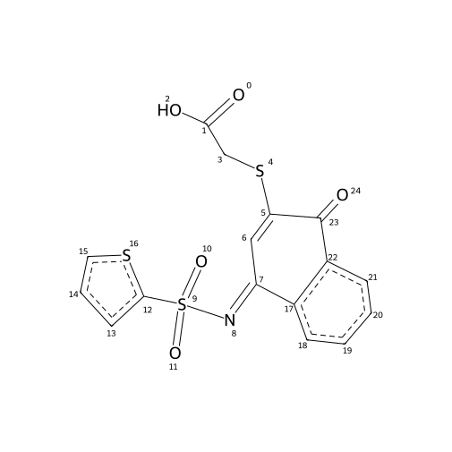 O=C(O)CSC1=CC(=NS(=O)(=O)c2cccs2)c2ccccc2C1=O